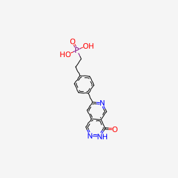 O=c1[nH]ncc2cc(-c3ccc(CCP(=O)(O)O)cc3)ncc12